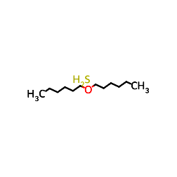 CCCCCCOCCCCCC.S